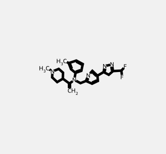 C=C(C1CCN(C)CC1)N(Cc1ccc(C2=NN=C(C(F)F)C2)cn1)c1cccc(C)c1